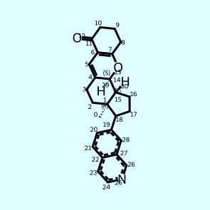 C[C@]12CCC3=CC4=C(CCCC4=O)O[C@H]3[C@@H]1CCC2c1ccc2ccncc2c1